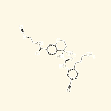 CCCCc1ccc(C#N)cc1NC(=O)NC1(C)CCOc2cc(C(=O)NCCOC#N)ccc21